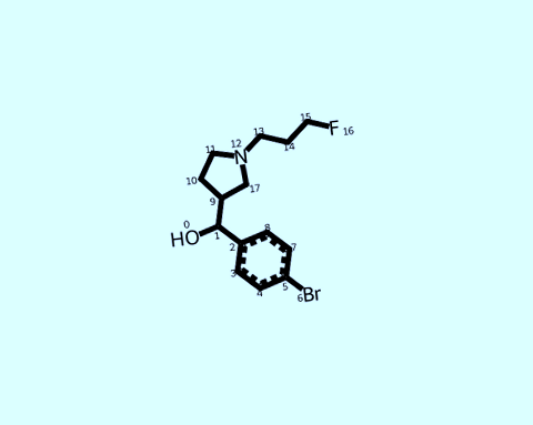 OC(c1ccc(Br)cc1)C1CCN(CCCF)C1